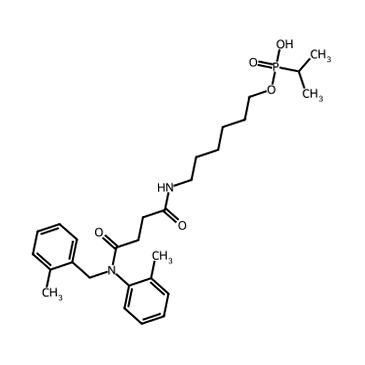 Cc1ccccc1CN(C(=O)CCC(=O)NCCCCCCOP(=O)(O)C(C)C)c1ccccc1C